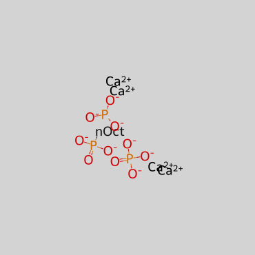 CCCCCCCCP(=O)([O-])[O-].O=P([O-])([O-])[O-].[Ca+2].[Ca+2].[Ca+2].[Ca+2].[O-]P([O-])[O-]